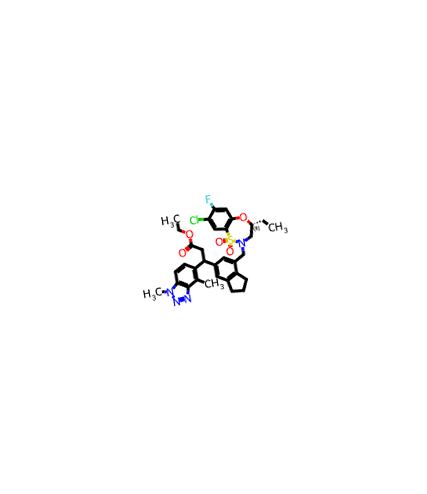 CCOC(=O)CC(c1cc2c(c(CN3C[C@@H](CC)Oc4cc(F)c(Cl)cc4S3(=O)=O)c1)CCC2)c1ccc2c(nnn2C)c1C